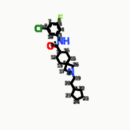 O=C(Nc1cc(F)cc(Cl)c1)C1CCC2(CC1)CN(CCC1CCCC1)C2